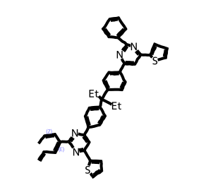 C=C/C=C(\C=C/C)c1nc(-c2ccc(C(CC)(CC)c3ccc(-c4cc(-c5cccs5)nc(-c5ccccc5)n4)cc3)cc2)cc(-c2cccs2)n1